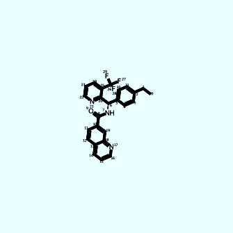 CCc1ccc([C@H](NC(=O)c2ccc3cccnc3c2)c2ncccc2C(F)(F)F)cc1